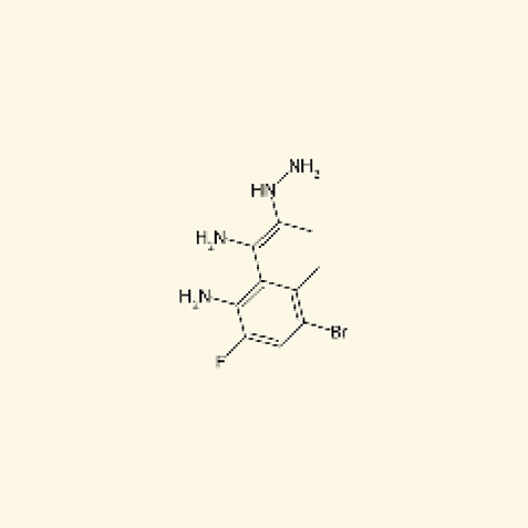 C/C(NN)=C(/N)c1c(C)c(Br)cc(F)c1N